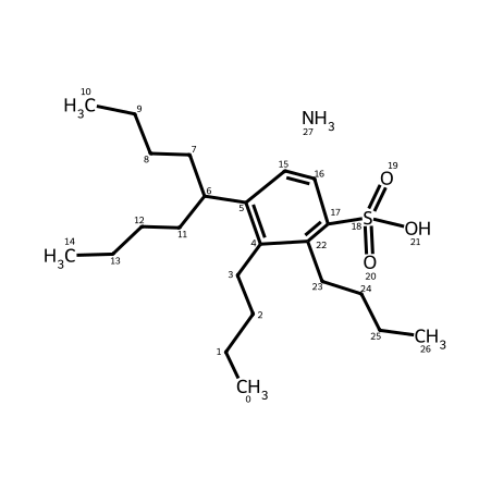 CCCCc1c(C(CCCC)CCCC)ccc(S(=O)(=O)O)c1CCCC.N